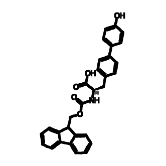 O=C(N[C@H](Cc1ccc(-c2ccc(O)cc2)cc1)C(=O)O)OCC1c2ccccc2-c2ccccc21